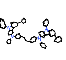 C1=CC(c2ccccc2)Cc2c1n(-c1ccccc1)c1ccc(N(c3ccccc3)c3ccc(/C=C/c4ccc(N(c5ccccc5)c5ccc6c(c5)c5cc(-c7ccccc7)ccc5n6-c5ccccc5)cc4)cc3)cc21